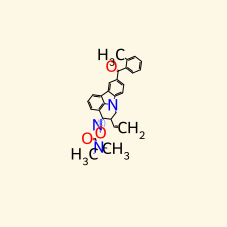 C=CC1Cn2c3ccc(C(=O)c4ccccc4C)cc3c3cccc(c32)/C1=N/OC(=O)N(C)C